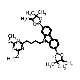 C=C1OB(c2ccc3c4ccc(B5OC(=C)C(C)(C)O5)cc4n(CCCCc4nc(SC)nc(SC)n4)c3c2)OC1(C)C